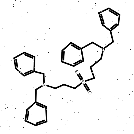 O=S(=O)(CCCN(Cc1ccccc1)Cc1ccccc1)CCCN(Cc1ccccc1)Cc1ccccc1